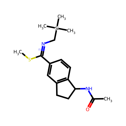 CS/C(=N/C[Si](C)(C)C)c1ccc2c(c1)CCC2NC(C)=O